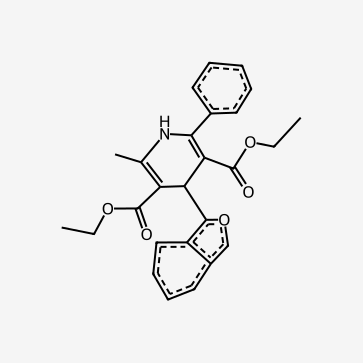 CCOC(=O)C1=C(C)NC(c2ccccc2)=C(C(=O)OCC)C1c1occ2ccccc12